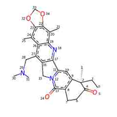 CC[C@@]1(C)C(=O)CCc2c1cc1n(c2=O)Cc2c-1nc1c(C)c3c(c(C)c1c2CN(C)C)OCO3